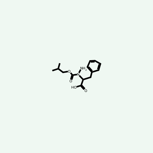 CC(C)COC(=O)N(N)C(Cc1ccccc1)C(=O)O